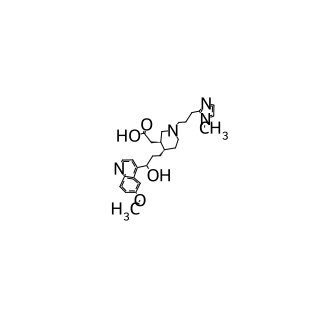 COc1ccc2nccc(C(O)CC[C@@H]3CCN(CCCc4nccn4C)C[C@@H]3CC(=O)O)c2c1